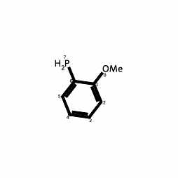 COc1ccccc1P